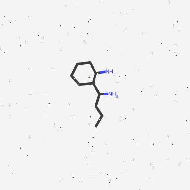 CCCC(N)C1CCCCC1N